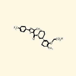 Cc1ccc([C@H]2CCCN(C(=O)c3sc(-c4ccc(C(F)(F)F)cc4)nc3C)C2)cc1OCC(=O)O